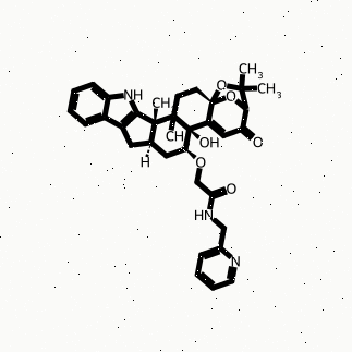 CC1(C)O[C@@]23CCC4(C)[C@@]5(C)c6[nH]c7ccccc7c6C[C@@H]5C[C@H](OCC(=O)NCc5ccccn5)[C@@]4(O)C2=CC(=O)C1O3